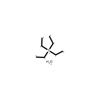 C[CH2][Ti]([CH2]C)([CH2]C)[CH2]C.O